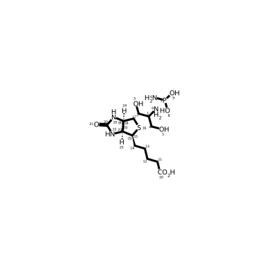 NC(CO)CO.NP(O)O.O=C(O)CCCC[C@@H]1SC[C@@H]2NC(=O)N[C@@H]21